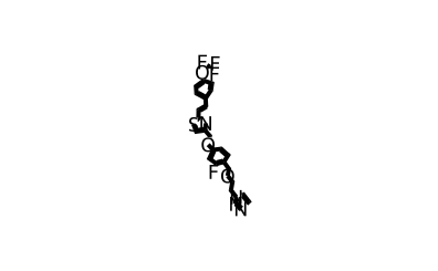 Fc1cc(OCc2csc(C=Cc3ccc(OC(F)(F)F)cc3)n2)ccc1COCCn1ccnn1